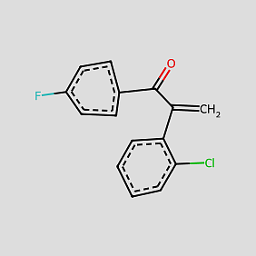 C=C(C(=O)c1ccc(F)cc1)c1ccccc1Cl